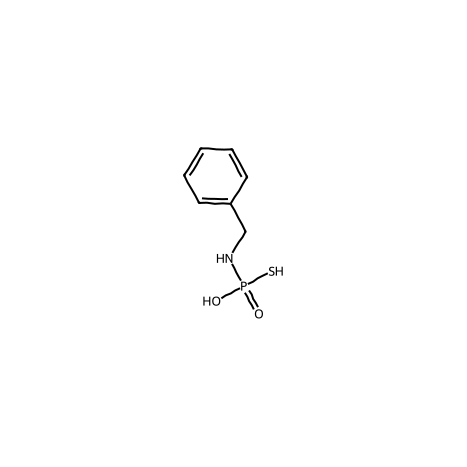 O=P(O)(S)NCc1ccccc1